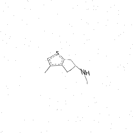 CNC1Cc2scc(C)c2C1